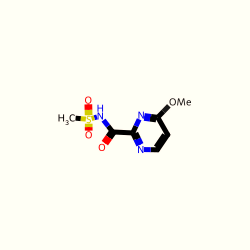 COc1ccnc(C(=O)NS(C)(=O)=O)n1